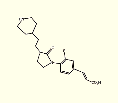 O=C(O)C=Cc1ccc(N2CCN(CCC3CCNCC3)C2=O)c(F)c1